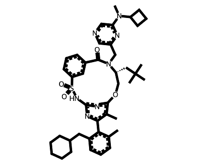 Cc1cccc(CC2CCCCC2)c1-c1nc2nc(c1C)OC[C@@H](CC(C)(C)C)N(Cc1cncc(N(C)C3CCC3)n1)C(=O)c1cccc(c1)S(=O)(=O)N2